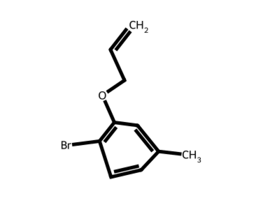 C=CCOc1cc(C)ccc1Br